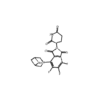 O=C1CCC(N2C(=O)c3c(F)c(F)c(F)c(N4CC5CC(C4)N5)c3C2=O)C(=O)N1